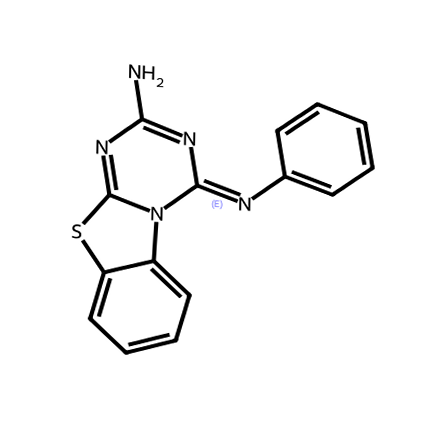 Nc1n/c(=N\c2ccccc2)n2c(n1)sc1ccccc12